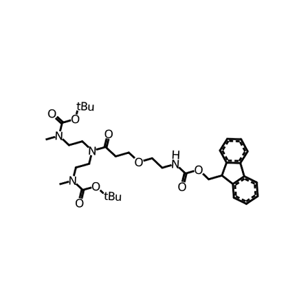 CN(CCN(CCN(C)C(=O)OC(C)(C)C)C(=O)CCOCCNC(=O)OCC1c2ccccc2-c2ccccc21)C(=O)OC(C)(C)C